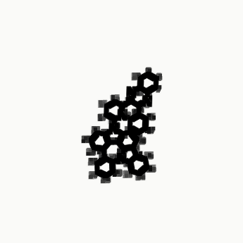 c1ccc(-c2nc3ccccc3nc2-c2cccc(-n3c4cccc5c6ccccc6n6c7ccccc7c7ccc3c(c54)c76)n2)cc1